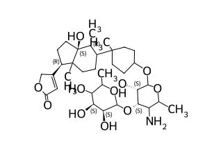 CC1OC(O[C@H]2C(N)C(C)OC(OC3CCC(C)(C4CCC5(C)[C@@H](C6=CC(=O)OC6)CC[C@]5(O)[C@@H]4C)CC3)[C@H]2O)[C@@H](O)[C@@H](O)C1O